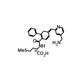 CSCC[C@H](NC(=O)C1=C(c2ccccc2)CC(=Cc2cc(CN)ccn2)C=C1)C(=O)O